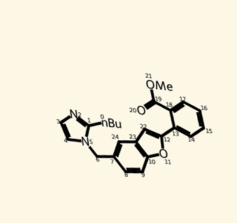 CCCCc1nccn1Cc1ccc2oc(-c3ccccc3C(=O)OC)cc2c1